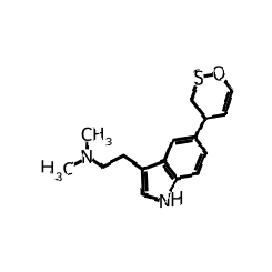 CN(C)CCc1c[nH]c2ccc(C3C=COSC3)cc12